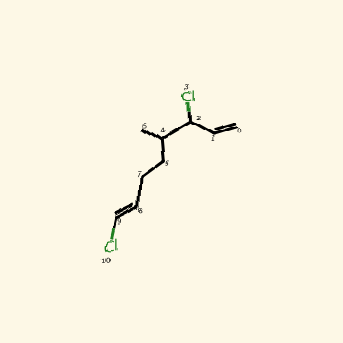 C=CC(Cl)C(C)CCC=CCl